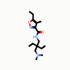 CCc1onc(C(=O)NCC(CC)(CC)CN(C)C)c1C